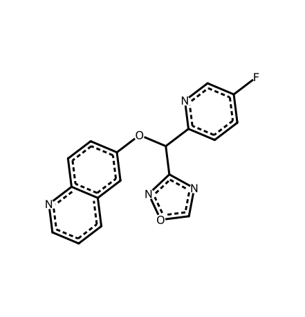 Fc1ccc(C(Oc2ccc3ncccc3c2)c2ncon2)nc1